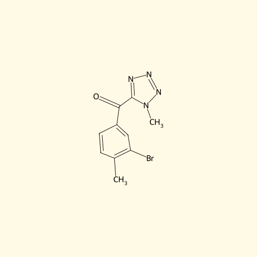 Cc1ccc(C(=O)c2nnnn2C)cc1Br